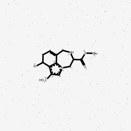 CCC1CC=C2CNC(C(=O)OC(C)(C)C)Cn3cc(C(=O)O)c1c32